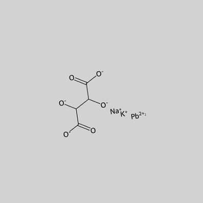 O=C([O-])C([O-])C([O-])C(=O)[O-].[K+].[Na+].[Pb+2]